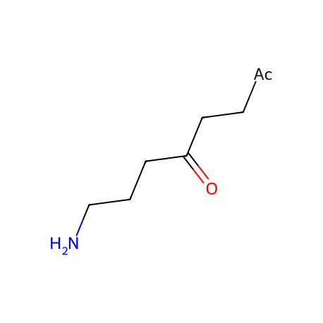 CC(=O)CCC(=O)CCCN